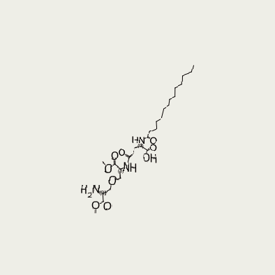 CCCCCCCCCCCCCC(=O)N[C@H](CCC(=O)N[C@@H](COC[C@@H](N)C(=O)OC)C(=O)OC)C(=O)O